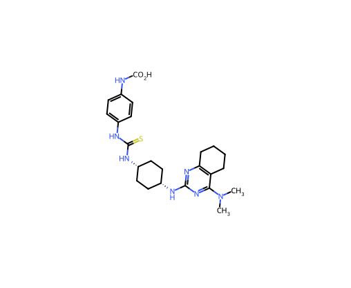 CN(C)c1nc(N[C@H]2CC[C@@H](NC(=S)Nc3ccc(NC(=O)O)cc3)CC2)nc2c1CCCC2